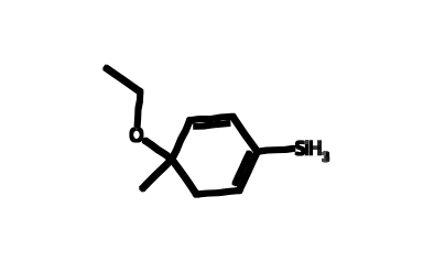 CCOC1(C)C=CC([SiH3])=CC1